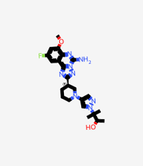 COc1cc(F)cc2c1nc(N)n1nc([C@@H]3CCCN(c4cnn(C(C)(C)C(C)O)c4)C3)nc21